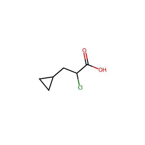 O=C(O)C(Cl)CC1CC1